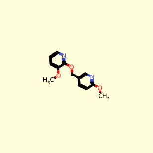 COc1ccc(COc2ncccc2OC)cn1